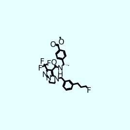 COC(=O)c1ccc([C@H](C)NC(=O)c2c(C(F)(F)F)nn3c2N(Cc2cccc(CCCF)c2)CC3)cc1